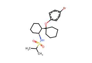 CC(C)S(=O)(=O)N[C@H]1CCCC[C@H]1C1(Oc2ccc(Br)cc2)CCCCC1